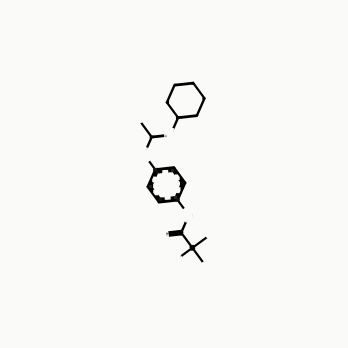 CCC(C)(C)C(=O)Oc1ccc(OC(C)OC2CCCCC2)cc1